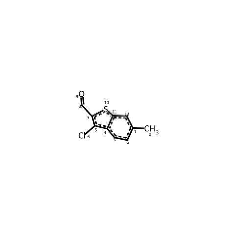 Cc1ccc2c(Cl)c([C]=O)sc2c1